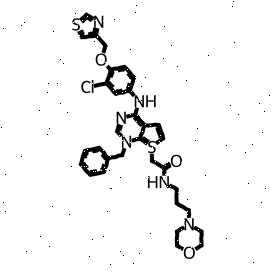 O=C(CS1=C2C(=C(Nc3ccc(OCc4cscn4)c(Cl)c3)N=CN2Cc2ccccc2)C=C1)NCCCN1CCOCC1